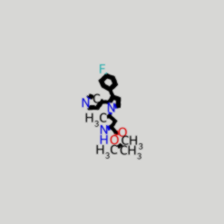 CC(CC(=N)C(=O)OC(C)(C)C)n1ccc(-c2ccc(F)cc2)c1-c1ccncc1